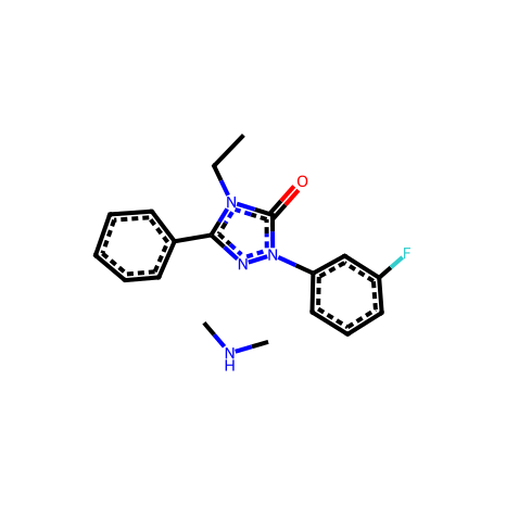 CCn1c(-c2ccccc2)nn(-c2cccc(F)c2)c1=O.CNC